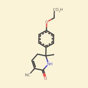 CC1(c2ccc(OCC(=O)O)cc2)CC=C(C#N)C(=O)N1